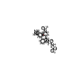 COC(=O)CN(C)C(=O)Cn1nc(C2CCN(C(C)=O)CC2)c2c(-c3cc4c(cnn4C)cc3F)cccc21